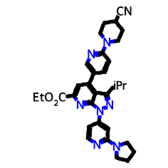 CCOC(=O)c1cc(-c2ccc(N3CCC(C#N)CC3)nc2)c2c(C(C)C)nn(-c3ccnc(N4CCCC4)c3)c2n1